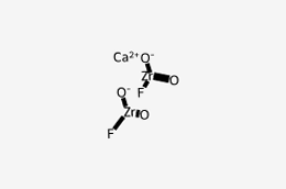 [Ca+2].[O]=[Zr]([O-])[F].[O]=[Zr]([O-])[F]